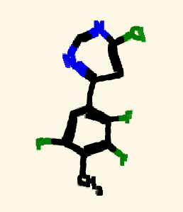 Cc1c(F)cc(-c2cc(Cl)ncn2)c(F)c1F